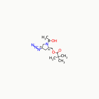 CB(O)N1C[C@H](N=[N+]=[N-])C[C@@H]1COC(=O)C(C)(C)C